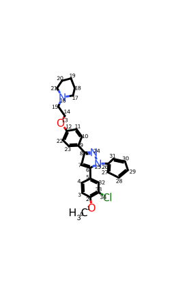 COc1ccc(-c2cc(-c3ccc(OCCN4CCCCC4)cc3)nn2-c2ccccc2)cc1Cl